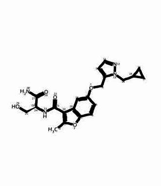 Cc1oc2ccc(OCc3ccnn3CC3CC3)cc2c1C(=O)N[C@@H](CO)C(N)=O